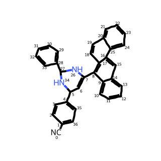 N#Cc1ccc(C2C=C(c3c4ccccc4cc4c3ccc3ccccc34)NC(c3ccccc3)N2)cc1